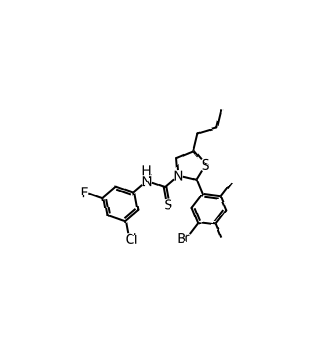 CCCC1CN(C(=S)Nc2cc(F)cc(Cl)c2)C(c2cc(Br)c(C)cc2C)S1